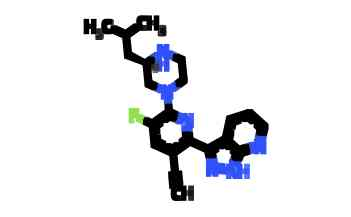 C#Cc1cc(F)c(N2CCN[C@H](CC(C)C)C2)nc1-c1n[nH]c2ncccc12